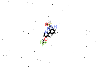 Cc1c(OCC(F)(F)F)ccnc1-c1cccc2[nH]c([S+](C)[O-])nc12